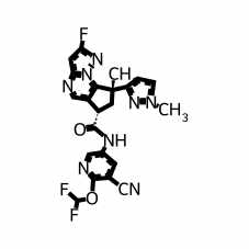 Cn1ccc([C@]2(C)C[C@H](C(=O)Nc3cnc(OC(F)F)c(C#N)c3)c3cnc4cc(F)nn4c32)n1